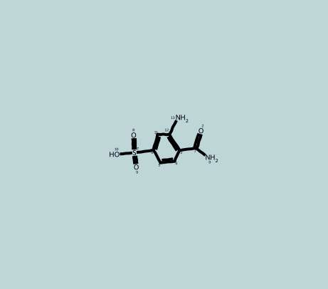 NC(=O)c1ccc(S(=O)(=O)O)cc1N